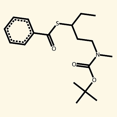 CCC(CCN(C)C(=O)OC(C)(C)C)SC(=O)c1ccccc1